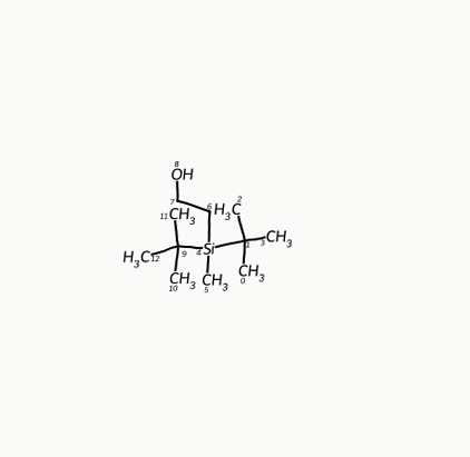 CC(C)(C)[Si](C)(CCO)C(C)(C)C